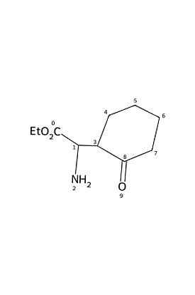 CCOC(=O)C(N)C1CCCCC1=O